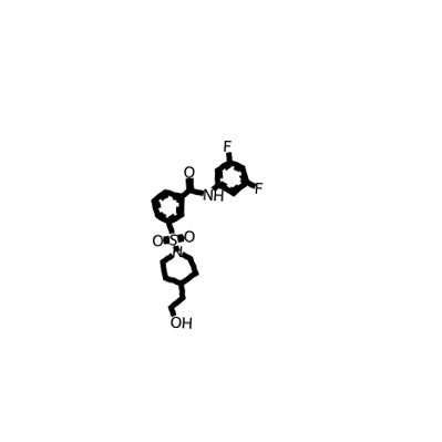 O=C(Nc1cc(F)cc(F)c1)c1cccc(S(=O)(=O)N2CCC(CCO)CC2)c1